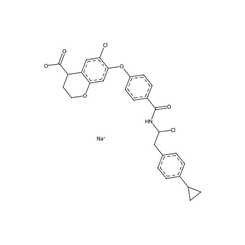 O=C(NC(Cl)Cc1ccc(C2CC2)cc1)c1ccc(Oc2cc3c(cc2Cl)C(C(=O)[O-])CCO3)cc1.[Na+]